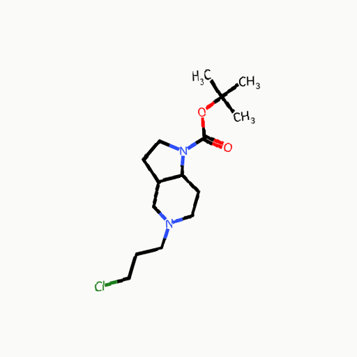 CC(C)(C)OC(=O)N1CCC2CN(CCCCl)CCC21